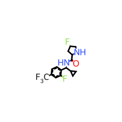 O=C(N[C@@H](c1ccc(C(F)(F)F)cc1F)C1CC1)C1C[C@H](F)CN1